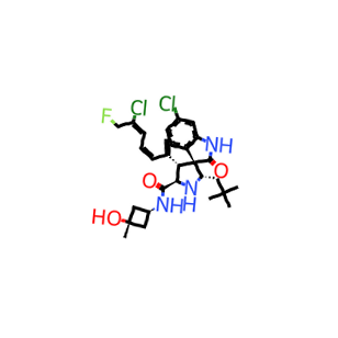 C=C(/C=C\C=C(\Cl)CF)[C@H]1[C@H](C(=O)N[C@H]2C[C@@](C)(O)C2)N[C@@H](CC(C)(C)C)[C@@]12C(=O)Nc1cc(Cl)ccc12